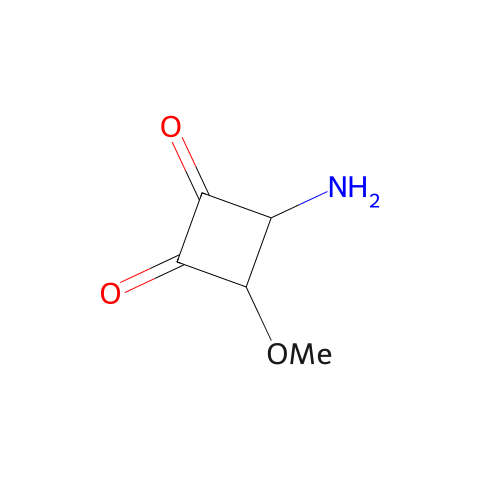 COC1C(=O)C(=O)C1N